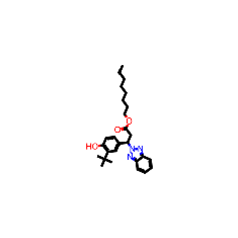 CCCCCCCCOC(=O)CC(c1ccc(O)c(C(C)(C)C)c1)n1nc2ccccc2n1